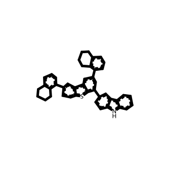 c1cc2c(c(-c3ccc4sc5c(-c6ccc7[nH]c8ccccc8c7c6)cc(-c6cccc7c6CCCC7)cc5c4c3)c1)CCCC2